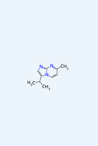 Cc1ccn2c(C(C)C)cnc2n1